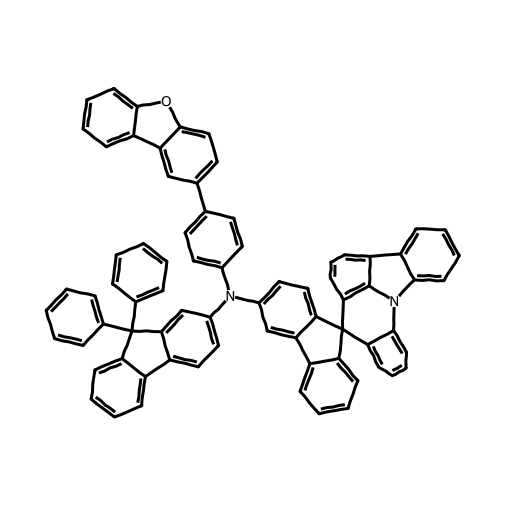 c1ccc(C2(c3ccccc3)c3ccccc3-c3ccc(N(c4ccc(-c5ccc6oc7ccccc7c6c5)cc4)c4ccc5c(c4)-c4ccccc4C54c5ccccc5-n5c6ccccc6c6cccc4c65)cc32)cc1